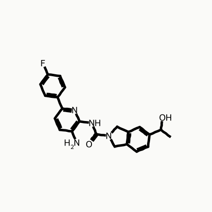 CC(O)c1ccc2c(c1)CN(C(=O)Nc1nc(-c3ccc(F)cc3)ccc1N)C2